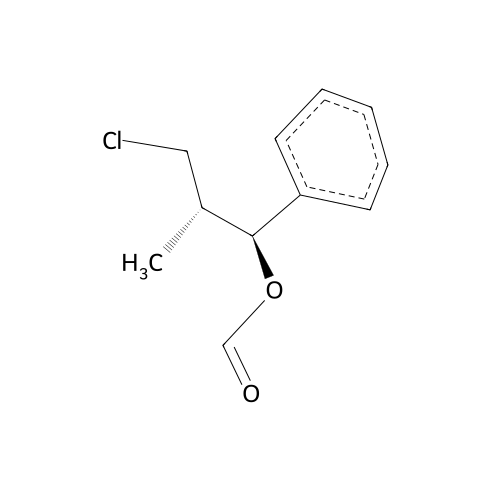 C[C@H](CCl)[C@H](OC=O)c1ccccc1